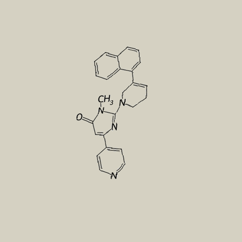 Cn1c(N2CCC=C(c3cccc4ccccc34)C2)nc(-c2ccncc2)cc1=O